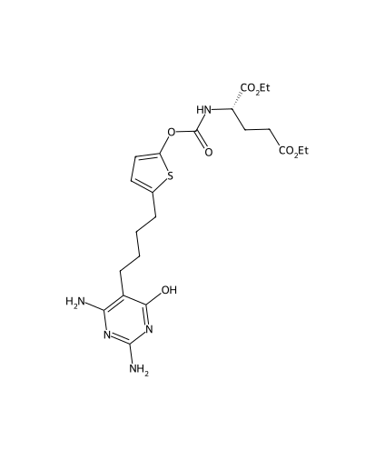 CCOC(=O)CC[C@H](NC(=O)Oc1ccc(CCCCc2c(N)nc(N)nc2O)s1)C(=O)OCC